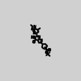 Cc1cn2nc(-c3nc4sc(C5CCN(C(=O)OC(C)(C)C)CC5)cc4c(=O)[nH]3)cc(C)c2n1